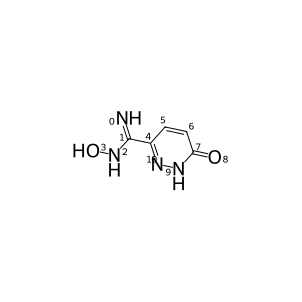 N=C(NO)c1ccc(=O)[nH]n1